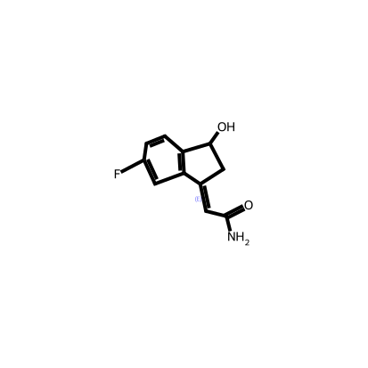 NC(=O)/C=C1\CC(O)c2ccc(F)cc21